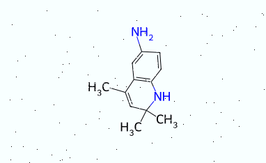 CC1=CC(C)(C)Nc2ccc(N)cc21